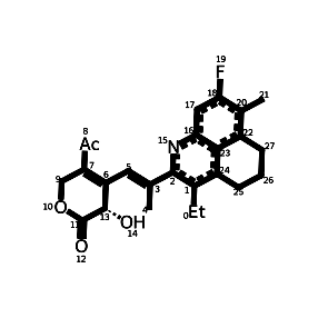 CCc1c(/C(C)=C/C2=C(C(C)=O)COC(=O)[C@H]2O)nc2cc(F)c(C)c3c2c1CCC3